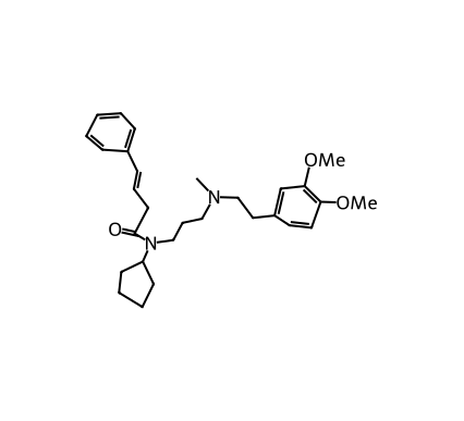 COc1ccc(CCN(C)CCCN(C(=O)C/C=C/c2ccccc2)C2CCCC2)cc1OC